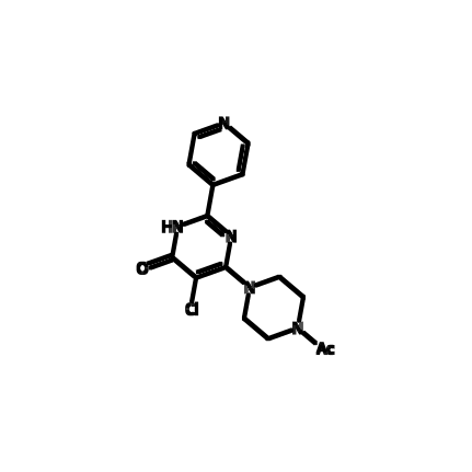 CC(=O)N1CCN(c2nc(-c3ccncc3)[nH]c(=O)c2Cl)CC1